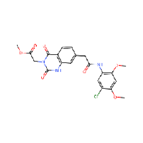 COC(=O)Cn1c(=O)[nH]c2cc(CC(=O)Nc3cc(Cl)c(OC)cc3OC)ccc2c1=O